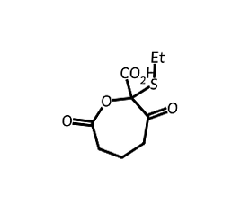 CCSC1(C(=O)O)OC(=O)CCCC1=O